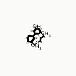 CCCCC.Oc1cccc(-c2cccc(O)c2)c1